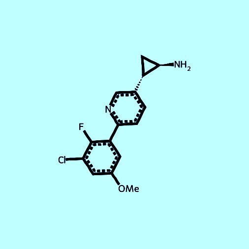 COc1cc(Cl)c(F)c(-c2ccc([C@@H]3C[C@H]3N)cn2)c1